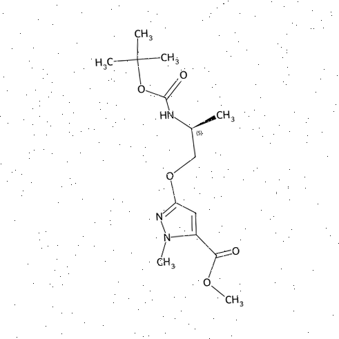 COC(=O)c1cc(OC[C@H](C)NC(=O)OC(C)(C)C)nn1C